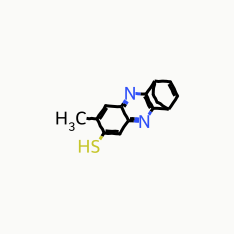 Cc1cc2nc3c(nc2cc1S)C1C=CC3CC1